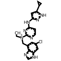 CCN(Cc1cc(Cl)cc2[nH]cnc12)c1nccc(Nc2cc(C3CC3)[nH]n2)n1